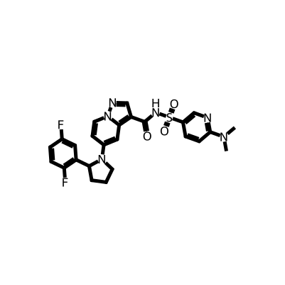 CN(C)c1ccc(S(=O)(=O)NC(=O)c2cnn3ccc(N4CCCC4c4cc(F)ccc4F)cc23)cn1